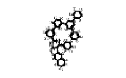 c1ccc(-c2cc(-c3ccccc3)cc(-c3cccc(-c4cccc(-c5nc(-c6ccccc6)c6c(n5)sc5cc7ccccc7cc56)c4)c3)c2)cc1